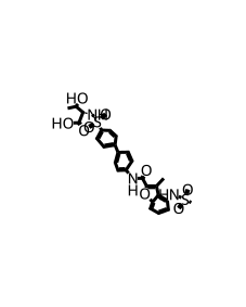 Cc1c(C(=O)Nc2ccc(-c3ccc(S(=O)(=O)N[C@H](C(=O)O)C(C)O)cc3)cc2)oc2cccc(NS(C)(=O)=O)c12